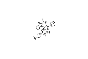 C[C@H](Nc1nc(N2CCOCC2)cc(-n2c(C(F)F)nc3ccccc32)n1)C(=O)N1CCC(N(C)C)CC1